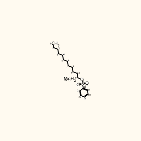 CCCCCCCCCCCCOS(=O)(=O)c1ccccc1.[MgH2]